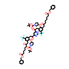 CC(C)(C)OC(=O)N1CC[C@@H](Oc2c(CC(=O)CCCCCC(=O)OCc3ccccc3)cc(C(F)(F)F)cc2CC(=O)c2cc(C(=O)Cc3cc(C(F)(F)F)cc(CC(=O)CCCCCC(=O)OCc4ccccc4)c3O[C@@H]3CCN(C(=O)OC(C)(C)C)C3)ncn2)C1